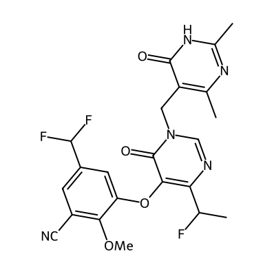 COc1c(C#N)cc(C(F)F)cc1Oc1c(C(C)F)ncn(Cc2c(C)nc(C)[nH]c2=O)c1=O